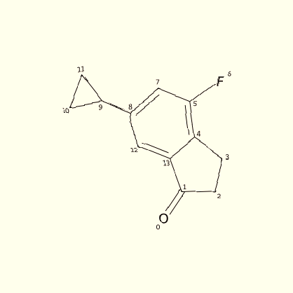 O=C1CCc2c(F)cc(C3CC3)cc21